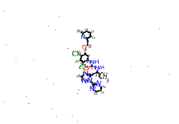 CC(NC(=O)Nc1cc(OCc2cccc(F)n2)c(Cl)cc1Cl)c1ncnn1-c1ncccn1